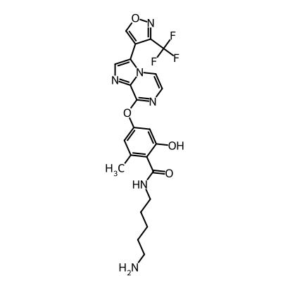 Cc1cc(Oc2nccn3c(-c4conc4C(F)(F)F)cnc23)cc(O)c1C(=O)NCCCCCN